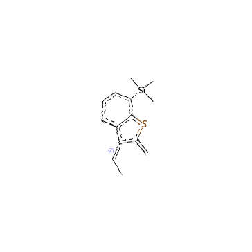 C=c1sc2c([Si](C)(C)C)cccc2/c1=C/C